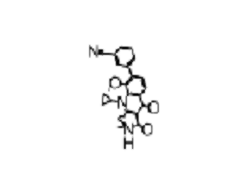 COc1c(-c2cccc(C#N)c2)ccc2c(=O)c3c(=O)[nH]sc3n(C3CC3)c12